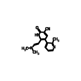 Cc1ncccc1-c1cc(C#N)c(=O)[nH]c1C=CN(C)C